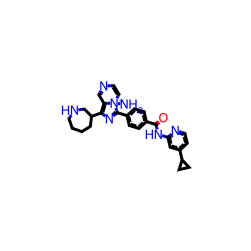 N[N+]12C=CN=CC1=C(C1CCCCNC1)N=C2c1ccc(C(=O)Nc2cc(C3CC3)ccn2)cc1